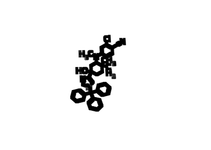 CN(c1ccc(C#N)c(Cl)c1)C1CC(O)(c2cn(C(c3ccccc3)(c3ccccc3)c3ccccc3)cn2)CCC1(C)C